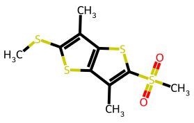 CSc1sc2c(C)c(S(C)(=O)=O)sc2c1C